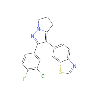 Fc1ccc(-c2nn3c(c2-c2ccc4ncsc4c2)CCC3)cc1Cl